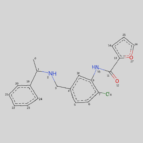 CC(NCc1ccc(Cl)c(NC(=O)c2ccco2)c1)c1ccccc1